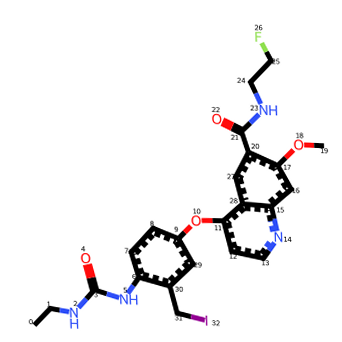 CCNC(=O)Nc1ccc(Oc2ccnc3cc(OC)c(C(=O)NCCF)cc23)cc1CI